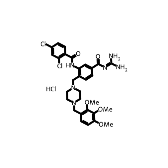 COc1ccc(CN2CCN(Cc3ccc(C(=O)N=C(N)N)cc3NC(=O)c3ccc(Cl)cc3Cl)CC2)c(OC)c1OC.Cl